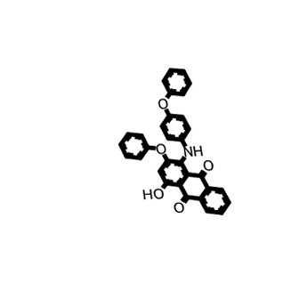 O=C1c2ccccc2C(=O)c2c(Nc3ccc(Oc4ccccc4)cc3)c(Oc3ccccc3)cc(O)c21